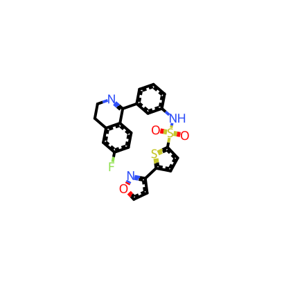 O=S(=O)(Nc1cccc(C2=NCCc3cc(F)ccc32)c1)c1ccc(-c2ccon2)s1